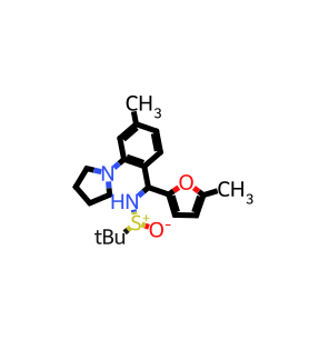 Cc1ccc(C(N[S+]([O-])C(C)(C)C)c2ccc(C)o2)c(N2CCCC2)c1